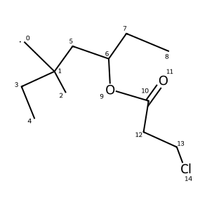 [CH2]C(C)(CC)CC(CC)OC(=O)CCCl